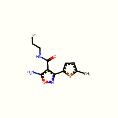 Cc1ccc(-c2noc(N)c2C(=O)NCCC(C)C)s1